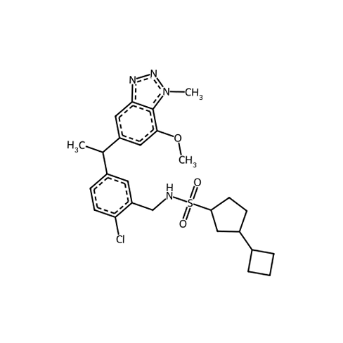 COc1cc(C(C)c2ccc(Cl)c(CNS(=O)(=O)C3CCC(C4CCC4)C3)c2)cc2nnn(C)c12